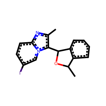 Cc1nc2ccc(I)cn2c1C1OC(C)c2ccccc21